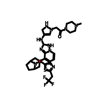 CN1CCN(C(=O)CN2C=C(NC3N=C4C(N5CC6CCC(C5)N6Cc5cnc(CC(F)(F)F)s5)=CC=CN4N3)CN2)CC1